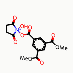 COC(=O)c1cc(C(=O)OC)cc(C(=O)O[N+]2(O)C(=O)CCC2=O)c1